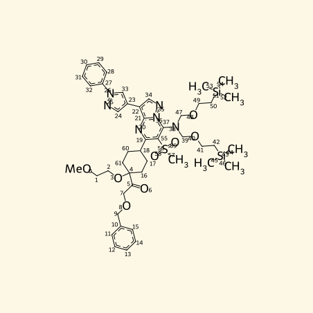 COCCOC1(C(=O)COCc2ccccc2)CCC(c2nc3c(-c4cnn(-c5ccccc5)c4)cnn3c(N(COCC[Si](C)(C)C)COCC[Si](C)(C)C)c2S(C)(=O)=O)CC1